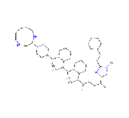 CCCC(C(C)CCC(C)C1CN(CC)C(CCC2CCCCC2)N1)C1CCCCC1C(CCC)C(CCC)C1CCCCC1C(CCC)C1CCC(C2CNCCCCCN2)CC1